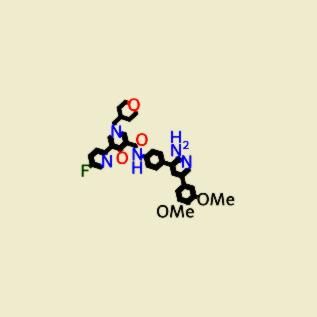 COc1ccc(-c2cnc(N)c(-c3ccc(NC(=O)c4cn(CC5CCOCC5)cc(-c5ccc(F)cn5)c4=O)cc3)c2)cc1OC